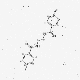 Cc1ccc(C(=O)NCCNC(=O)c2ccc(C)cc2)cc1